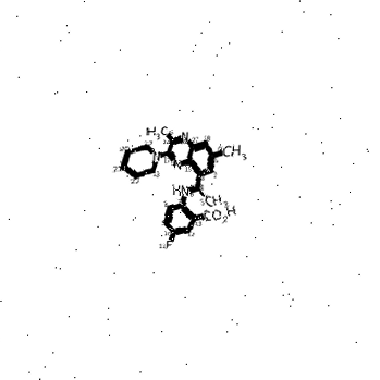 Cc1cc([C@@H](C)Nc2ccc(F)cc2C(=O)O)c2nc(N3CCCCC3)c(C)nc2c1